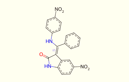 O=C1Nc2ccc([N+](=O)[O-])cc2/C1=C(/Nc1ccc([N+](=O)[O-])cc1)c1ccccc1